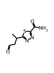 CC(CC=O)c1nnc(C(N)=O)s1